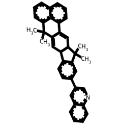 CC1(C)C2=CC3c4ccc(-c5cnc6ccccc6c5)cc4C(C)(C)C3C=C2c2cccc3cccc1c23